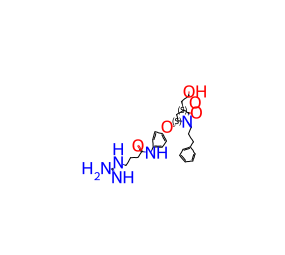 N=C(N)NCCCC(=O)Nc1ccc(OC[C@@H]2C[C@@H](CC(=O)O)C(=O)N2CCCc2ccccc2)cc1